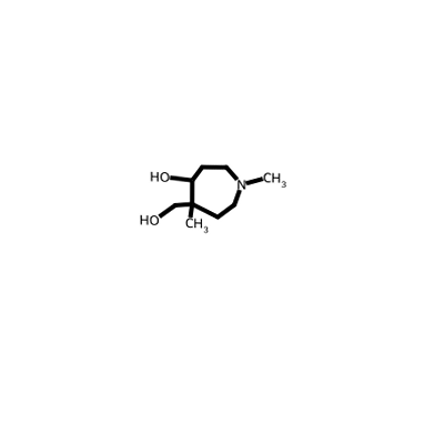 CN1CCC(O)C(C)(CO)CC1